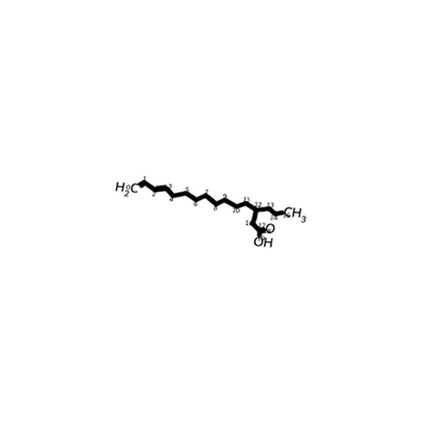 C=CC=CCCCCCCCCC(CCC)CC(=O)O